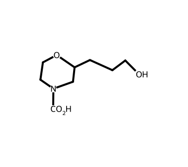 O=C(O)N1CCOC(CCCO)C1